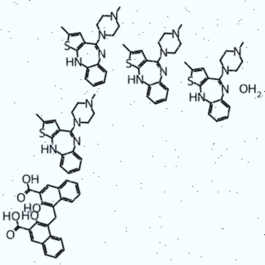 Cc1cc2c(s1)Nc1ccccc1N=C2N1CCN(C)CC1.Cc1cc2c(s1)Nc1ccccc1N=C2N1CCN(C)CC1.Cc1cc2c(s1)Nc1ccccc1N=C2N1CCN(C)CC1.Cc1cc2c(s1)Nc1ccccc1N=C2N1CCN(C)CC1.O.O=C(O)c1cc2ccccc2c(Cc2c(O)c(C(=O)O)cc3ccccc23)c1O